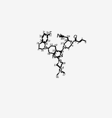 CC=CC(=O)N1CCN(c2nc(N3CC(N(C)C)C3)nc3c2CCC(N2CCCc4ccc(F)cc42)C3)CC1CC#N